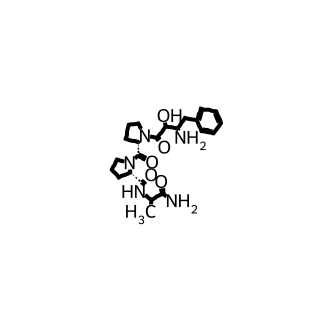 CC(NC(=O)[C@@H]1CCCN1C(=O)[C@@H]1CCCN1C(=O)C(O)C(N)Cc1ccccc1)C(N)=O